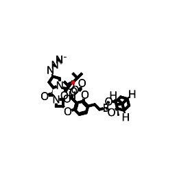 CC(C)(C)OC(=O)Oc1c(CCB2O[C@@H]3C[C@@H]4C[C@@H](C4(C)C)[C@]3(C)O2)ccc(OC2CN(C(=O)[C@@H]3C[C@@H](N=[N+]=[N-])CN3C(=O)O)C2)c1C(=O)OC(C)(C)C